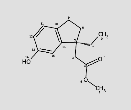 CC[C@@]1(CC(=O)OC)CCc2ccc(O)cc21